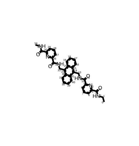 CCNC(=O)c1cccc(C(=O)NCc2c3ccccc3c(CNC(=O)c3cccc(C(=O)NC)n3)c3ccccc23)n1